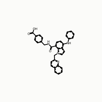 O=C(O)c1ccc(CNC(=O)c2ccc(Nc3ccccc3)c3ccn(Cc4ccc5ccccc5n4)c23)cc1